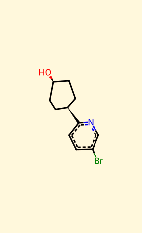 O[C@H]1CC[C@@H](c2ccc(Br)cn2)CC1